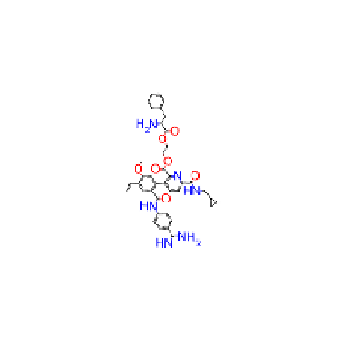 C=Cc1cc(C(=O)Nc2ccc(C(=N)N)cc2)c(-c2ccc(C(=O)NCC3CC3)nc2C(=O)OCCOC(=O)[C@@H](N)Cc2ccccc2)cc1OC